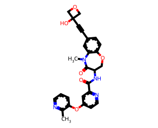 Cc1ncccc1Oc1ccnc(C(=O)NC2COc3ccc(C#CC4(O)COC4)cc3N(C)C2=O)c1